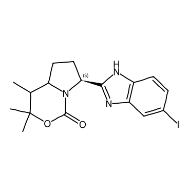 CC1C2CC[C@@H](c3nc4cc(I)ccc4[nH]3)N2C(=O)OC1(C)C